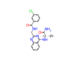 CC(C)[C@H](Nc1nc(CNC(=O)c2cccc(Cl)c2)nc2ccccc12)C(N)=O